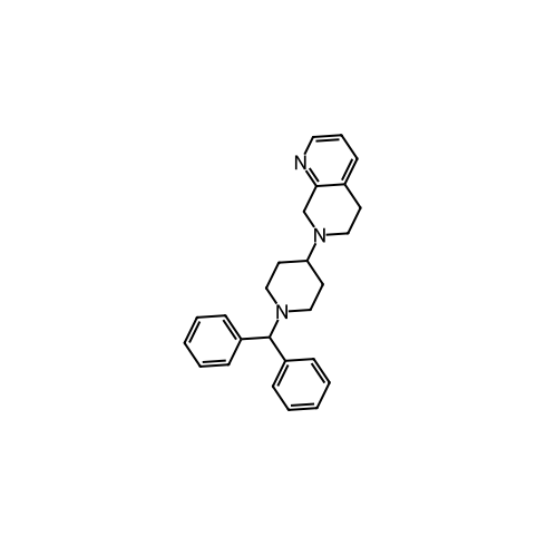 c1ccc(C(c2ccccc2)N2CCC(N3CCc4cccnc4C3)CC2)cc1